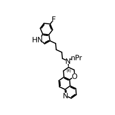 CCCN(CCCCc1c[nH]c2ccc(F)cc12)[C@H]1COc2c(ccc3ncccc23)C1